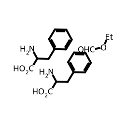 CCOC=O.NC(Cc1ccccc1)C(=O)O.NC(Cc1ccccc1)C(=O)O